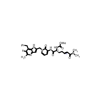 COC(=O)N[C@@H](CC/C=C/C(=O)N(C)C)C(=O)Nc1cccn(Cc2cc3nc(C)c(F)c(CC(C)C)c3[nH]2)c1=O